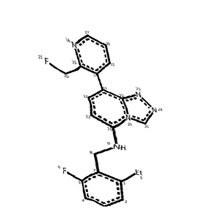 CCc1cccc(F)c1CNc1ccc(-c2cccnc2CF)c2nncn12